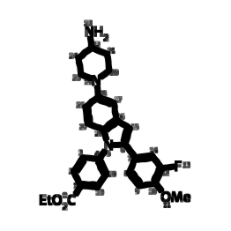 CCOC(=O)c1ccc(-n2c(-c3ccc(OC)c(F)c3)cc3cc(N4CCC(N)CC4)ccc32)cc1